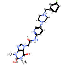 CN1C(=O)c2c(ncn2CC(=O)Nc2ccc(N3CCN(Cc4cccc(F)c4)CC3)cn2)N(C)C1O